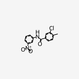 Cc1ccc(C(=O)Nc2cccc([N+](=O)[O-])c2)cc1Cl